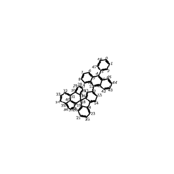 c1ccc(-c2c3ccccc3c(-c3ccc4c(c3)C3(c5ccccc5-4)c4ccccc4-c4cccc5cccc3c45)c3ccccc23)cc1